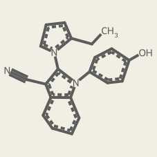 CCc1cccn1-c1c(C#N)c2ccccc2n1-c1ccc(O)cc1